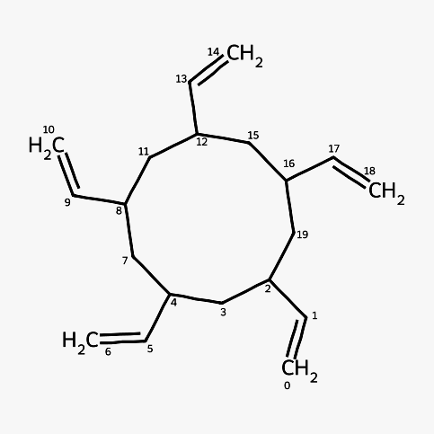 C=CC1CC(C=C)CC(C=C)CC(C=C)CC(C=C)C1